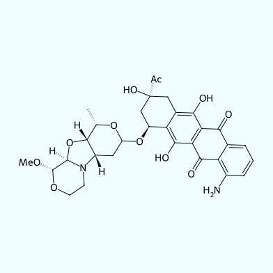 CO[C@H]1OCCN2[C@@H]1O[C@@H]1[C@H](C)OC(O[C@H]3C[C@](O)(C(C)=O)Cc4c(O)c5c(c(O)c43)C(=O)c3c(N)cccc3C5=O)C[C@@H]12